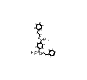 C[SiH](OCCc1ccccc1)c1ccc([SiH](C)OCCc2ccccc2)cc1